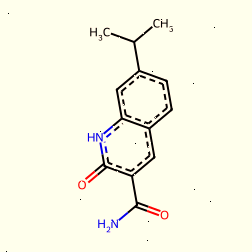 CC(C)c1ccc2cc(C(N)=O)c(=O)[nH]c2c1